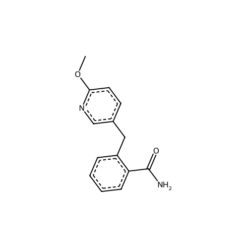 COc1ccc(Cc2ccccc2C(N)=O)cn1